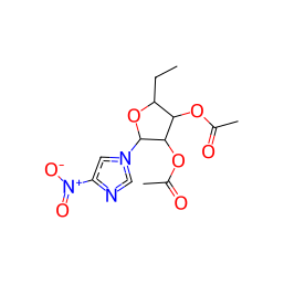 CCC1OC(n2cnc([N+](=O)[O-])c2)C(OC(C)=O)C1OC(C)=O